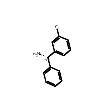 N[C@@H](c1ccccc1)c1cccc(Cl)c1